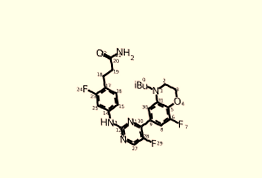 CCC(C)N1CCOc2c(F)cc(-c3nc(Nc4ccc(CCC(N)=O)c(F)c4)ncc3F)cc21